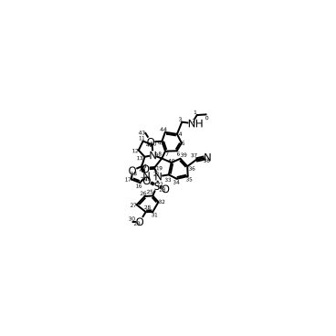 CCNCc1ccc(C2(N3CCCC3c3ncco3)C(=O)N(S(=O)(=O)c3ccc(OC)cc3)c3ccc(C#N)cc32)c(OC)c1